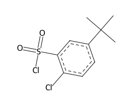 CC(C)(C)c1ccc(Cl)c(S(=O)(=O)Cl)c1